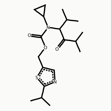 CC(C)C(=O)C(C(C)C)N(C(=O)OCc1cnc(C(C)C)s1)C1CC1